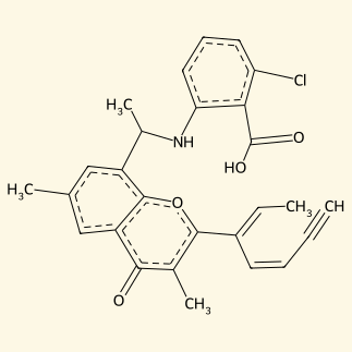 C#C/C=C\C(=C/C)c1oc2c(C(C)Nc3cccc(Cl)c3C(=O)O)cc(C)cc2c(=O)c1C